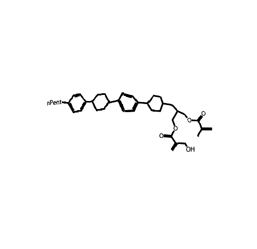 C=C(C)C(=O)OCC(COC(=O)C(=C)CO)CC1CCC(c2ccc(C3CCC(c4ccc(CCCCC)cc4)CC3)cc2)CC1